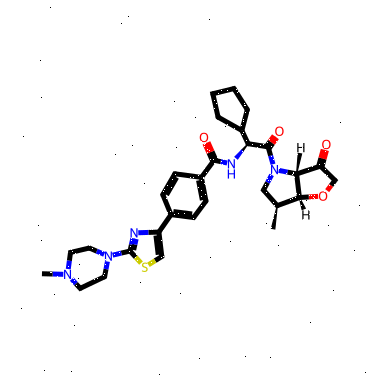 C[C@H]1CN(C(=O)[C@@H](NC(=O)c2ccc(-c3csc(N4CCN(C)CC4)n3)cc2)C2CCCC2)[C@@H]2C(=O)CO[C@@H]21